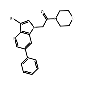 O=C(Cn1cc(Br)c2ncc(-c3ccccc3)cc21)N1CCOCC1